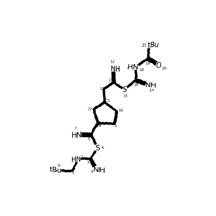 CC(C)(C)CNC(=N)SC(=N)C1CCC(CC(=N)SC(=N)NC(=O)C(C)(C)C)C1